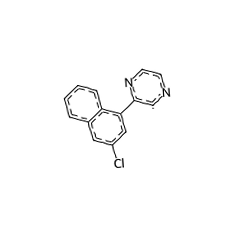 Clc1cc(-c2[c]nccn2)c2ccccc2c1